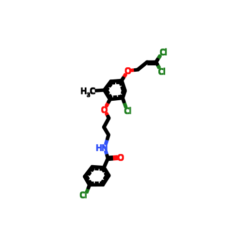 Cc1cc(OCC=C(Cl)Cl)cc(Cl)c1OCCCNC(=O)c1ccc(Cl)cc1